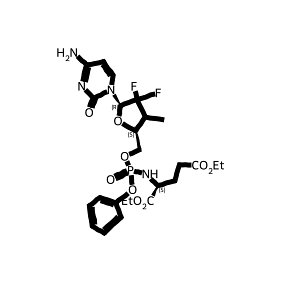 CCOC(=O)CC[C@H](NP(=O)(OC[C@H]1O[C@@H](n2ccc(N)nc2=O)C(F)(F)C1C)Oc1ccccc1)C(=O)OCC